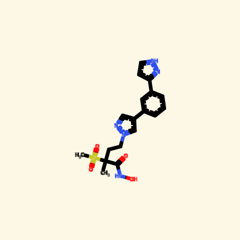 CC(CCn1cc(-c2cccc(-c3cc[nH]n3)c2)cn1)(C(=O)NO)S(C)(=O)=O